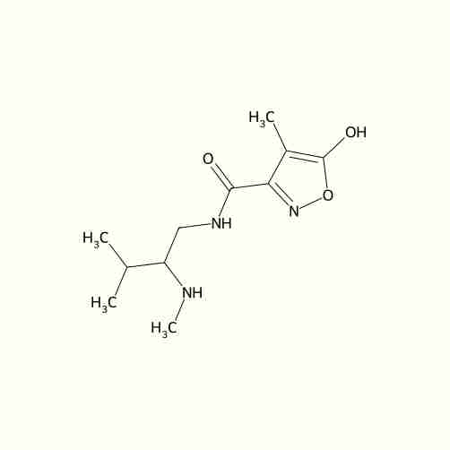 CNC(CNC(=O)c1noc(O)c1C)C(C)C